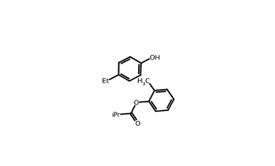 CCc1ccc(O)cc1.Cc1ccccc1OC(=O)C(C)C